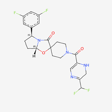 O=C(C1=CN=C(C(F)F)CN1)N1CCC2(CC1)O[C@@H]1CC[C@@H](c3cc(F)cc(F)c3)N1C2=O